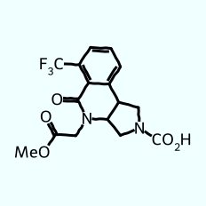 COC(=O)CN1C(=O)c2c(cccc2C(F)(F)F)C2CN(C(=O)O)CC21